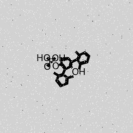 Cc1cccc(C)c1-c1ccc(OP(=O)(O)O)c(-c2c(C)cccc2C)c1O